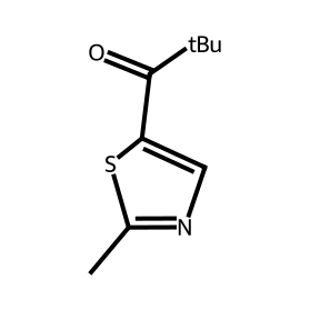 Cc1ncc(C(=O)C(C)(C)C)s1